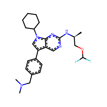 C[C@@H](COC(F)F)Nc1ncc2c(-c3ccc(CN(C)C)cc3)cn(C3CCCCC3)c2n1